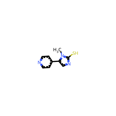 Cn1c(-c2ccncc2)cnc1S